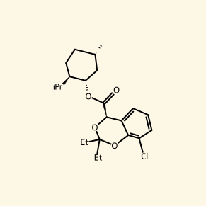 CCC1(CC)Oc2c(Cl)cccc2[C@H](C(=O)O[C@H]2C[C@@H](C)CC[C@@H]2C(C)C)O1